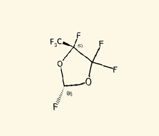 F[C@H]1OC(F)(F)[C@](F)(C(F)(F)F)O1